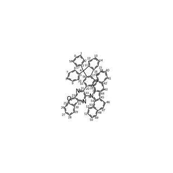 c1ccc(C2(c3ccccc3)c3ccccc3-c3ccc(-c4nc5oc6ccccc6c5nc4-n4c5cc6ccccc6cc5c5ccc6ccccc6c54)cc32)cc1